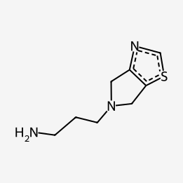 NCCCN1Cc2ncsc2C1